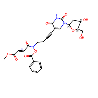 COC(=O)/C=C/C(=O)N(CCC#Cc1cn([C@H]2C[C@H](O)[C@@H](CO)O2)c(=O)[nH]c1=O)OC(=O)c1ccccc1